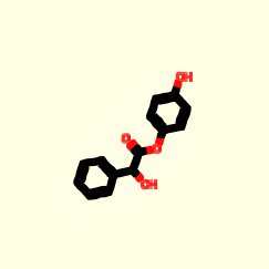 O=C(Oc1ccc(O)cc1)C(O)c1ccccc1